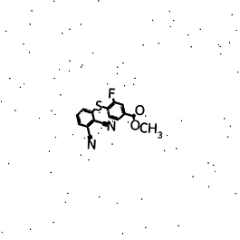 COC(=O)c1ccc(Sc2cccc(C#N)c2C#N)c(F)c1